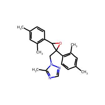 Cc1ccc(C2OC2(Cn2ncnc2C)c2ccc(C)cc2C)c(C)c1